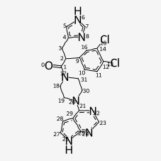 O=C(C(Cc1c[nH]cn1)c1ccc(Cl)c(Cl)c1)N1CCN(c2ncnc3[nH]ccc23)CC1